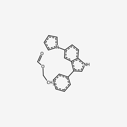 CCOC=O.c1ccc(-c2c[nH]c3ccc(-n4cccc4)cc23)cc1